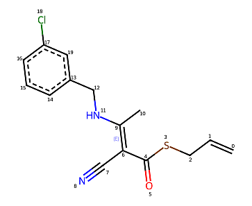 C=CCSC(=O)/C(C#N)=C(\C)NCc1cccc(Cl)c1